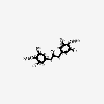 COc1c(F)cc(CC(=O)Cc2cc(F)c(OC)c(F)c2)cc1F